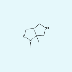 CN1OCC2CNCC21C